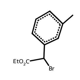 CCOC(=O)C(Br)c1cccc(C)c1